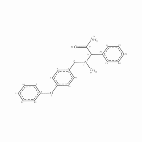 CN(Cc1ccc(Oc2ccccc2)cc1)C(C(N)=O)c1ccccc1